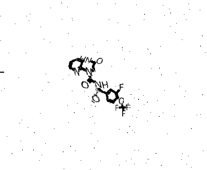 COC[C@H](NC(=O)N1CC(=O)Nc2cccnc21)c1ccc(OC(F)(F)F)c(F)c1